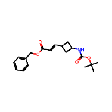 CC(C)(C)OC(=O)NC1CC(C=CC(=O)OCc2ccccc2)C1